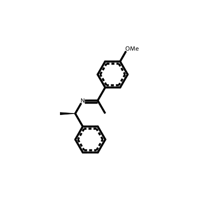 COc1ccc(/C(C)=N/[C@H](C)c2ccccc2)cc1